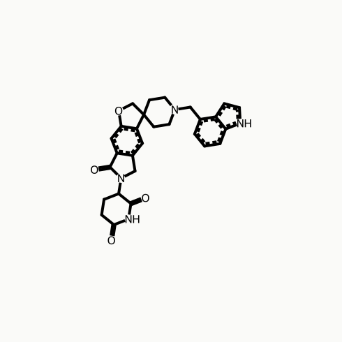 O=C1CCC(N2Cc3cc4c(cc3C2=O)OCC42CCN(Cc3cccc4[nH]ccc34)CC2)C(=O)N1